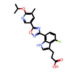 Cc1cc(-c2nc(-c3ccc(F)c4c(CCC(=O)O)c[nH]c34)no2)cnc1OC(C)C